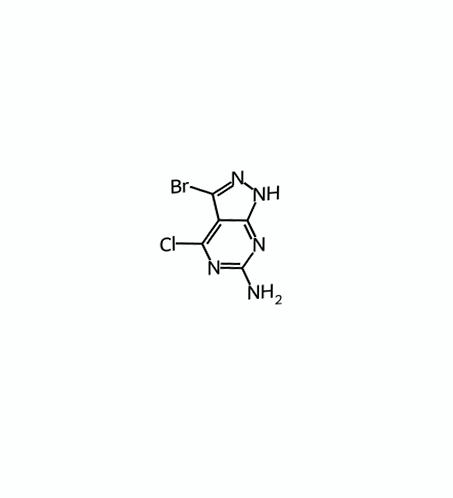 Nc1nc(Cl)c2c(Br)n[nH]c2n1